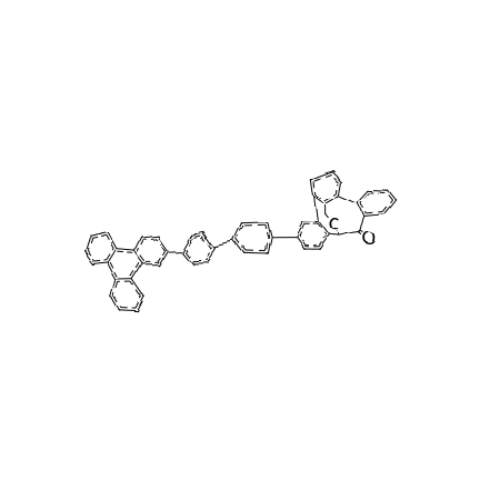 O=C1c2ccccc2-c2cccc3c2CCC1c1ccc(-c2ccc(-c4ccc(-c5ccc6c7ccccc7c7ccccc7c6c5)cc4)cc2)cc1-3